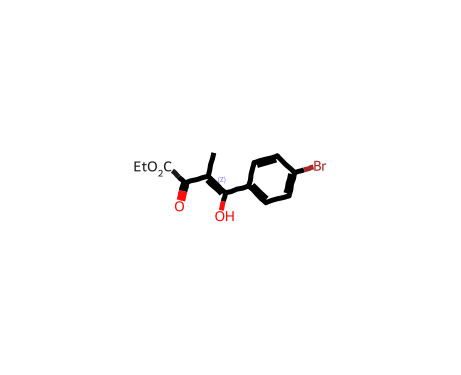 CCOC(=O)C(=O)/C(C)=C(\O)c1ccc(Br)cc1